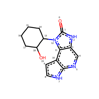 O=c1[nH]c2cnc3[nH]ccc3c2n1C1CCCCC1O